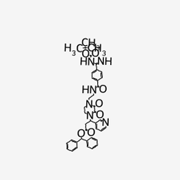 CC(C)(C)OC(=O)NC(=N)c1ccc(C(=O)NCCN2CCN(C(CC(=O)OC(c3ccccc3)c3ccccc3)c3cccnc3)C(=O)C2=O)cc1